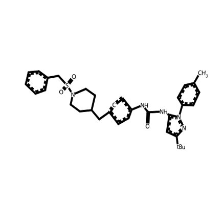 Cc1ccc(-n2nc(C(C)(C)C)cc2NC(=O)Nc2ccc(CC3CCN(S(=O)(=O)Cc4ccccc4)CC3)cc2)cc1